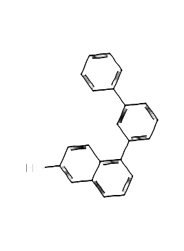 Oc1ccc2c(-c3cccc(-c4ccccc4)c3)cccc2c1